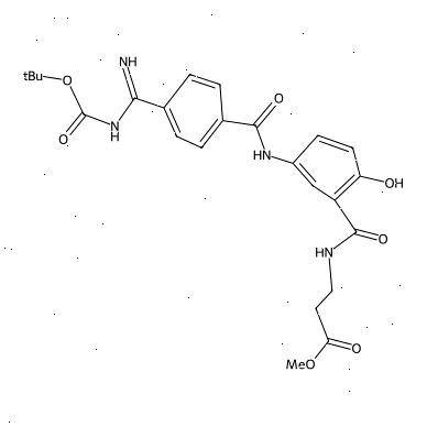 COC(=O)CCNC(=O)c1cc(NC(=O)c2ccc(C(=N)NC(=O)OC(C)(C)C)cc2)ccc1O